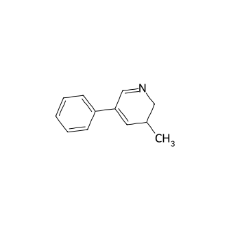 CC1C=C(c2ccccc2)C=NC1